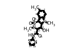 Cc1ccc2c(c1)c1c(n2C)C(O)=C(C(=O)Nc2nccs2)N(C)S1(=O)=O